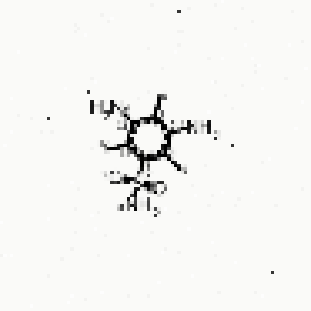 Cc1c(N)c(C)c(S(N)(=O)=O)c(C)c1N